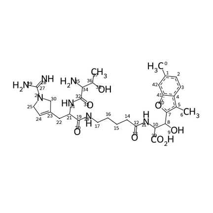 Cc1ccc2c(C)c(C(O)C(NC(=O)CCCCNC(=O)C(CC3=CCN(C(=N)N)C3)NC(=O)C(N)C(C)O)C(=O)O)oc2c1